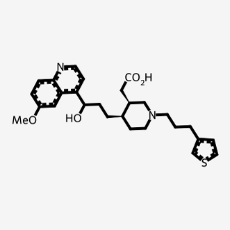 COc1ccc2nccc(C(O)CC[C@@H]3CCN(CCCc4ccsc4)C[C@@H]3CC(=O)O)c2c1